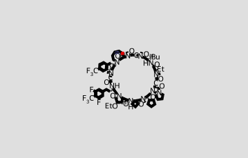 CCO[C@@H]1C[C@H]2C(=O)NC3(CCC3)C(=O)N(C)[C@@H](C3CCCC3)C(=O)N(C)[C@H](C(=O)N3CCCC3)CC(=O)N(C)[C@@H](CC)C(=O)N[C@@H]([C@@H](C)CC)C(=O)N(C)CC(=O)N(C)[C@H]3C/C=C\CCN(C3=O)[C@@H](Cc3ccc(C(F)(F)F)cc3)C(=O)N(C)CC(=O)N[C@@H](CCc3cc(F)c(C(F)(F)F)c(F)c3)C(=O)N2C1